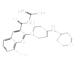 CC(=N)NC(=O)c1cc2cccc(C)c2nc1N1CCC(NC2CCOCC2)CC1